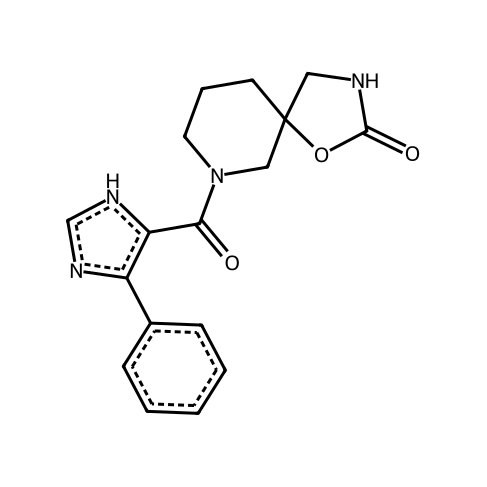 O=C1NCC2(CCCN(C(=O)c3[nH]cnc3-c3ccccc3)C2)O1